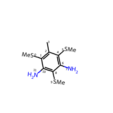 CSc1c(C)c(SC)c(N)c(SC)c1N